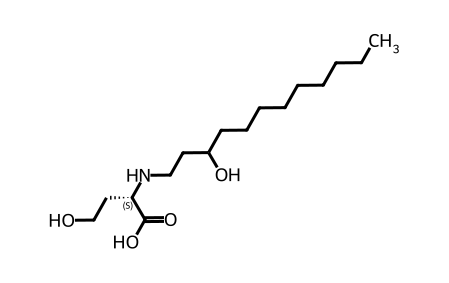 CCCCCCCCCC(O)CCN[C@@H](CCO)C(=O)O